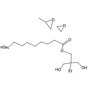 C1CO1.CC1CO1.CCCCCCCCCCCCCCCCCC(=O)OCC(CC)(CO)CO